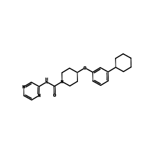 O=C(Nc1cnccn1)N1CCC(Oc2cccc(C3CCCCC3)c2)CC1